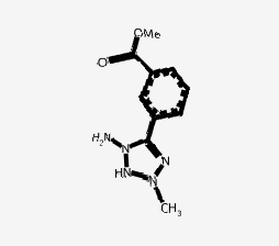 COC(=O)c1cccc(C2=NN(C)NN2N)c1